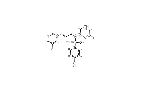 Cc1cccc(C=CCN([C@@H](CO)CC(C)C)S(=O)(=O)c2ccc(Cl)cc2)c1